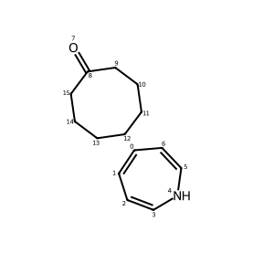 C1=CC=CNC=C1.O=C1CCCCCCC1